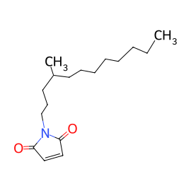 CCCCCCCCC(C)CCCN1C(=O)C=CC1=O